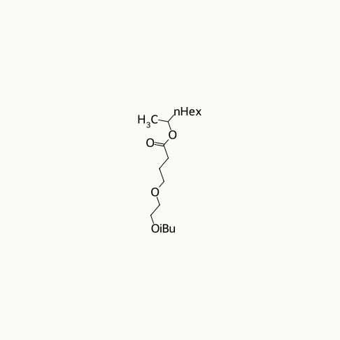 CCCCCCC(C)OC(=O)CCCOCCOCC(C)C